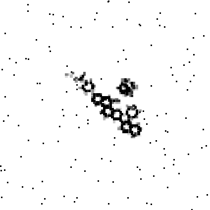 CC(C)(C)OC(=O)N1CCN(c2ccc3c(c2)cc(Br)c2c4c(ccc23)CC(c2ccc3ccccc3c2N2CCOCC2)CC4)CC1.N=[N+]=N.O=C1C2=CC=C1C=C2